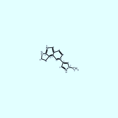 Cn1cc(-c2ccc3cnc4c(c3c2)CCO4)cn1